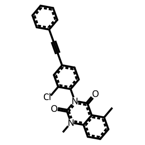 Cc1cccc2c1c(=O)n(-c1ccc(C#Cc3ccccc3)cc1Cl)c(=O)n2C